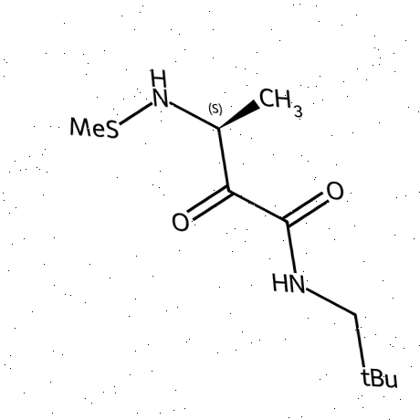 CSN[C@@H](C)C(=O)C(=O)NCC(C)(C)C